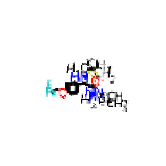 CC(C)(C)[S+]([O-])NC(c1ccc(OCC(F)(F)F)cc1)c1cn(C[Si](C)(C)C)nn1